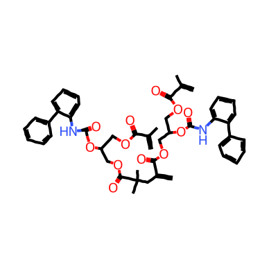 C=C(C)C(=O)OCC(COC(=O)C(=C)CC(C)(C)C(=O)OCC(COC(=O)C(=C)C)OC(=O)Nc1ccccc1-c1ccccc1)OC(=O)Nc1ccccc1-c1ccccc1